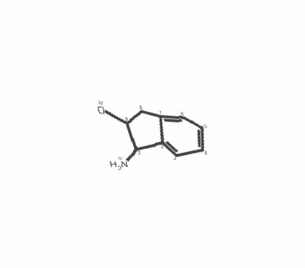 NC1c2ccccc2CC1Cl